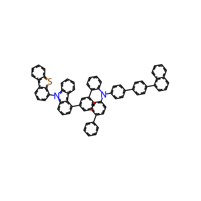 c1ccc(-c2ccc(N(c3ccc(-c4ccc(-c5cccc6ccccc56)cc4)cc3)c3ccccc3-c3cccc(-c4cccc5c4c4ccccc4n5-c4cccc5c4sc4ccccc45)c3)cc2)cc1